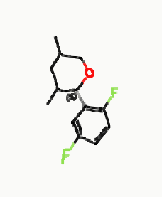 CC1CO[C@H](c2cc(F)ccc2F)C(C)C1